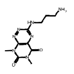 Cn1c(=O)c2nc(NCCCN)nnc2n(C)c1=O